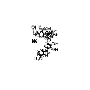 Nc1ncnc2c1ncn2[C@@H]1O[C@H](COP(=O)(O[C@H](CO)[C@@H](O)[C@H](O)[C@@H](O)C=O)OP(=O)([O-])[O-])[C@@H](O)[C@H]1O.[K+].[K+]